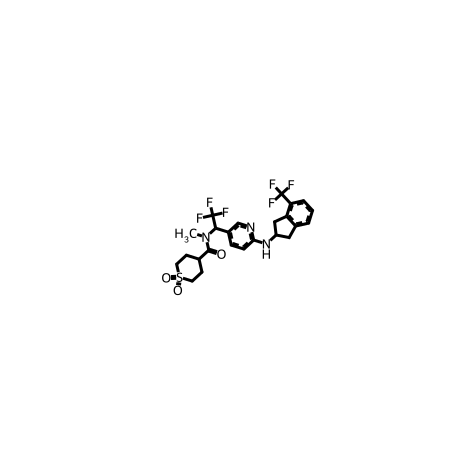 CN(C(=O)C1CCS(=O)(=O)CC1)C(c1ccc(NC2Cc3cccc(C(F)(F)F)c3C2)nc1)C(F)(F)F